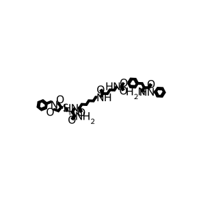 NC(=O)[C@H](CSC1CC(=O)N(Cc2ccccc2)C1=O)NC(=O)CCCCCNC(=O)CCCNC(=O)Oc1ccc(CC(N)C(=O)Nc2ccccc2)cc1